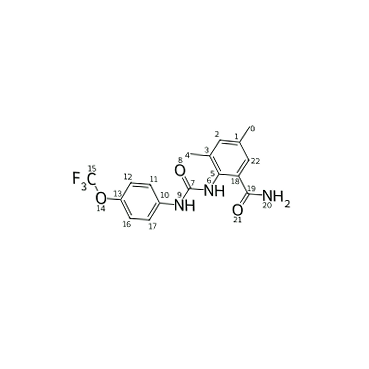 Cc1cc(C)c(NC(=O)Nc2ccc(OC(F)(F)F)cc2)c(C(N)=O)c1